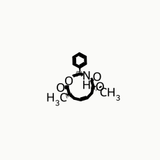 CO[C@@H]1CC=CC[C@@H](C)C(=O)OC[C@@H](c2ccccc2)NC1=O